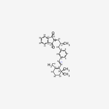 CC1=C(/C=C/c2cccc(CC(C)CN3C(=O)c4ccccc4C3=O)c2)C(C)(C)CCC1